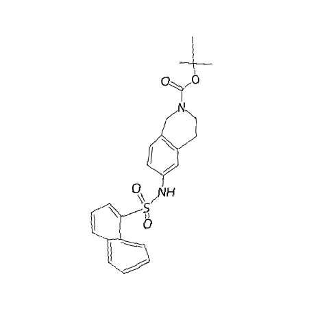 CC(C)(C)OC(=O)N1CCc2cc(NS(=O)(=O)c3cccc4ccccc34)ccc2C1